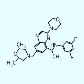 CC1CN(Cc2cc(C(C)Nc3cc(F)cc(F)c3)c3nc(N4CCOCC4)cnc3c2)CC(C)O1